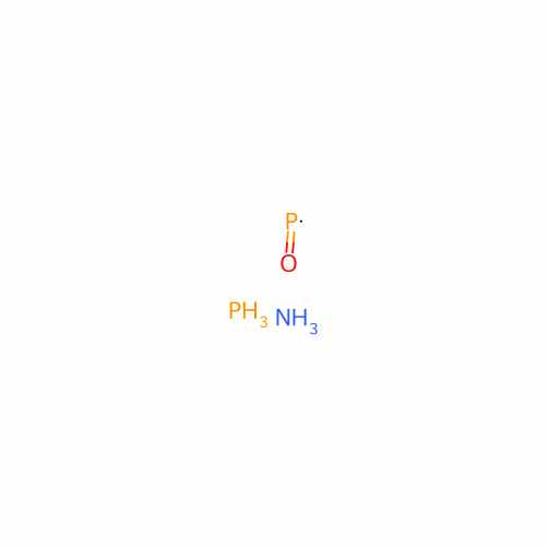 N.O=[P].P